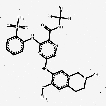 [2H]C([2H])([2H])NC(=O)c1nnc(Nc2cc3c(cc2OC)CCN(C)C3)nc1Nc1ccccc1S(C)(=O)=O